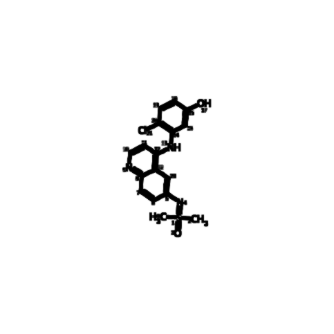 CS(C)(=O)=Nc1ccc2nccc(Nc3cc(O)ccc3Cl)c2c1